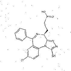 O=C(O)CC[C@@H]1N=C(c2ccccc2)c2cc(Cl)ccc2-n2c(S)nnc21